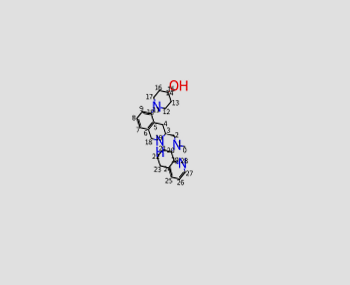 CN(C[C@@H]1Cc2c(cccc2N2CCC(O)CC2)CN1)[C@H]1CCCc2cccnc21